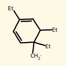 [CH2]C1(CC)C=CC(CC)=CC1CC